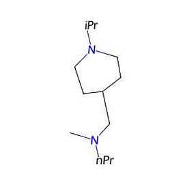 CCCN(C)CC1CCN(C(C)C)CC1